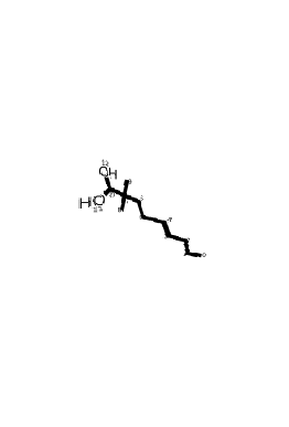 CCCCCCCC(C)(C)C(O)O